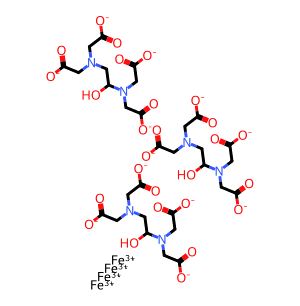 O=C([O-])CN(CC(=O)[O-])CC(O)N(CC(=O)[O-])CC(=O)[O-].O=C([O-])CN(CC(=O)[O-])CC(O)N(CC(=O)[O-])CC(=O)[O-].O=C([O-])CN(CC(=O)[O-])CC(O)N(CC(=O)[O-])CC(=O)[O-].[Fe+3].[Fe+3].[Fe+3].[Fe+3]